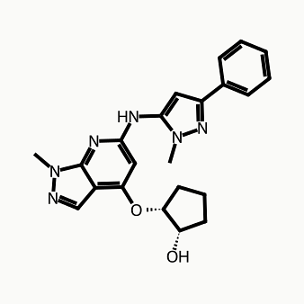 Cn1nc(-c2ccccc2)cc1Nc1cc(O[C@@H]2CCC[C@@H]2O)c2cnn(C)c2n1